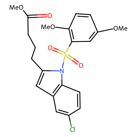 COC(=O)CCCc1cc2cc(Cl)ccc2n1S(=O)(=O)c1cc(OC)ccc1OC